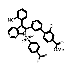 COC(=O)c1ccc(-c2cccc(-c3c(-c4ccccc4C#N)c4ccncc4n3S(=O)(=O)c3ccc(C(F)F)cc3)c2)c(Cl)c1